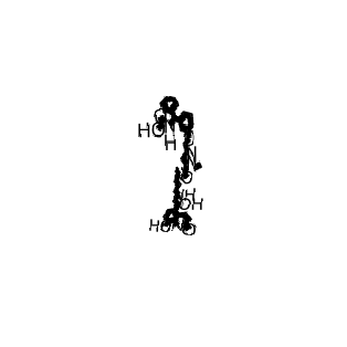 CCn1nc(COc2cccc(C(NC(=O)O)c3ccccc3)c2)cc1C(=O)N(C)CCCNC[C@@H](O)c1ccc(O)c2[nH]c(=O)ccc12